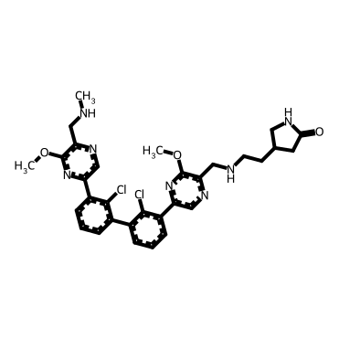 CNCc1ncc(-c2cccc(-c3cccc(-c4cnc(CNCCC5CNC(=O)C5)c(OC)n4)c3Cl)c2Cl)nc1OC